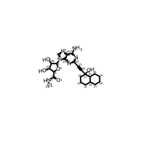 CCNC(=O)C1OC(n2cnc3c(N)nc(C#CC4(O)CCCC5CCCCC54)nc32)C(O)C1O